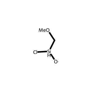 COC[SiH]([O])Cl